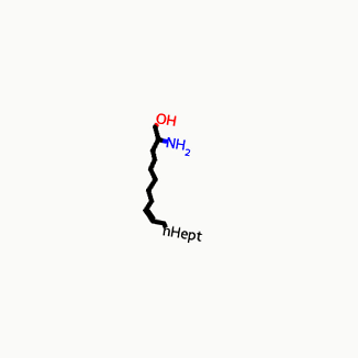 CCCCCCCC/C=C\CCCCCCC(N)CO